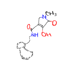 CN1CC(C(=O)NCCc2cccc3ccccc23)=C(O)C1=O